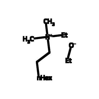 CCCCCCCC[N+](C)(C)CC.CC[O-]